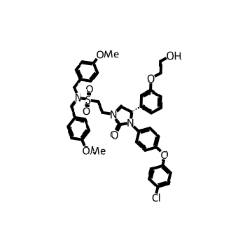 COc1ccc(CN(Cc2ccc(OC)cc2)S(=O)(=O)CCN2C[C@H](c3cccc(OCCO)c3)N(c3ccc(Oc4ccc(Cl)cc4)cc3)C2=O)cc1